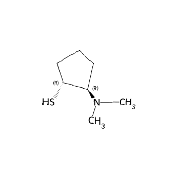 CN(C)[C@@H]1CCC[C@H]1S